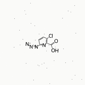 [N-]=[N+]=Nc1ccc(Cl)c(C(=O)O)n1